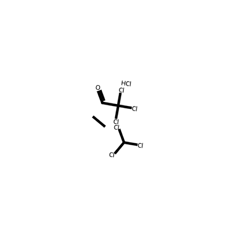 CC.Cl.ClC(Cl)Cl.O=CC(Cl)(Cl)Cl